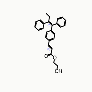 CC/C(=C(\c1ccccc1)c1ccc(/C=C/C(=O)OCCO)cc1)c1ccccc1